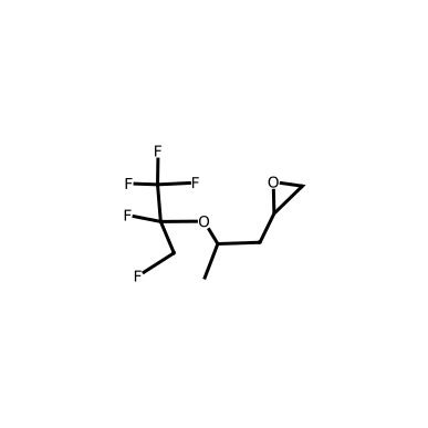 CC(CC1CO1)OC(F)(CF)C(F)(F)F